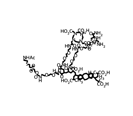 CC(=O)NCCSCCS(=O)(=O)CCOC(=O)NCCOCCOCCNC(=O)C(CC(C)C(=O)NCCOCCOCCNC(=O)CN1CCN(CC(=O)O)CCN(CC(=O)O)CCN(CC(=O)O)CC1)CC(CC(CC(CC(C)C(=O)O)c1ccc2c(c1)CCc1ccc(C(CC(C)C(=O)O)CC(C)C(=O)O)cc1CC2)C(=O)O)C(=O)NCCOCCOCCNC(=O)OCCS(=O)(=O)CCSCC(NC(=O)CN)C(N)=O